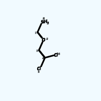 [SiH3]COCC(Cl)Cl